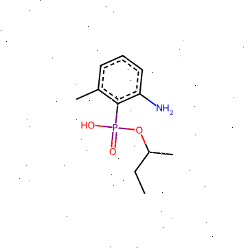 CCC(C)OP(=O)(O)c1c(C)cccc1N